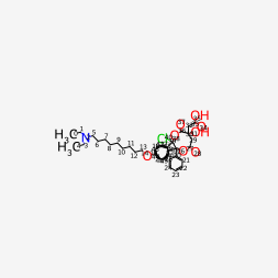 CCN(CC)CCCCCCCCCOc1ccc(C2(c3ccccc3)OC(=O)CC(O)(CC(=O)O)C(=O)OC2(Cl)c2ccccc2)cc1